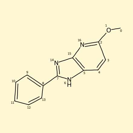 COc1ccc2[nH]c(-c3ccccc3)nc2n1